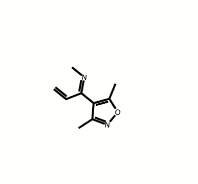 C=C/C(=N\C)c1c(C)noc1C